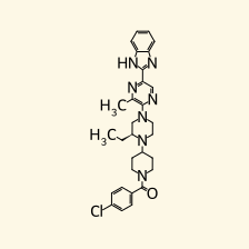 CC[C@H]1CN(c2ncc(-c3nc4ccccc4[nH]3)nc2C)CCN1C1CCN(C(=O)c2ccc(Cl)cc2)CC1